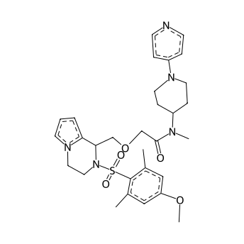 COc1cc(C)c(S(=O)(=O)N2CCn3cccc3C2COCC(=O)N(C)C2CCN(c3ccncc3)CC2)c(C)c1